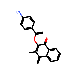 C=C(OC1=C(C)C(=C)c2ccccc2C1=O)c1ccc(N)cc1